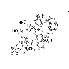 CC1(C)C(=CC=C(C=CC2=[N+](CCCS(=O)(=O)O)c3ccc(S(=O)(=O)[O-])cc3C2(C)C)c2ccccc2CCCCC(=O)ON2C(=O)CCC2=O)N(CCCS(=O)(=O)O)c2ccc(S(=O)(=O)O)cc21.[NaH]